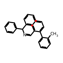 Cc1ccccc1-c1ccccc1/C=N\C(c1ccccc1)c1ccccc1